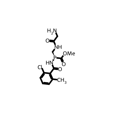 COC(=O)[P@](CNC(=O)CN)NC(=O)c1c(C)cccc1Cl